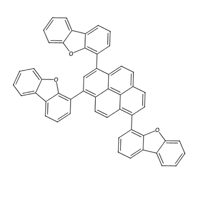 c1ccc2c(c1)oc1c(-c3ccc4ccc5c(-c6cccc7c6oc6ccccc67)cc(-c6cccc7c6oc6ccccc67)c6ccc3c4c56)cccc12